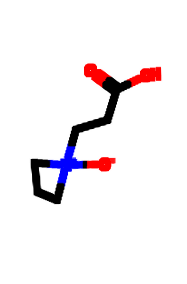 O=C(O)CC[N+]1([O-])CCC1